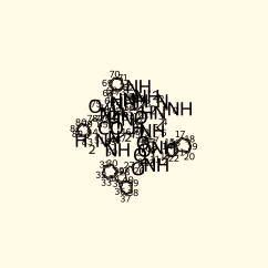 N=C(N)NCCC[C@H](NC(=O)[C@H](Cc1ccc2ccccc2c1)NC(=O)OCC1c2ccccc2-c2ccccc21)C(=O)N[C@@H](CCCNC(=N)N)C(=O)N[C@@H](CCCNC(=N)N)C(=O)N[C@H](Cc1ccccc1)C(=O)N[C@H](Cc1ccccc1)C(=O)O